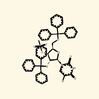 CS(=O)(=O)O[C@H]1[C@@H](OC(c2ccccc2)(c2ccccc2)c2ccccc2)[C@H](n2cc(Cl)c(=O)[nH]c2=O)O[C@@H]1COC(c1ccccc1)(c1ccccc1)c1ccccc1